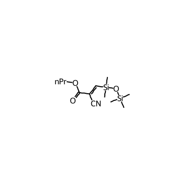 CCCOC(=O)C(C#N)=C[Si](C)(C)O[Si](C)(C)C